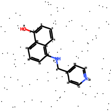 Oc1cccc2c(NCc3ccncc3)cccc12